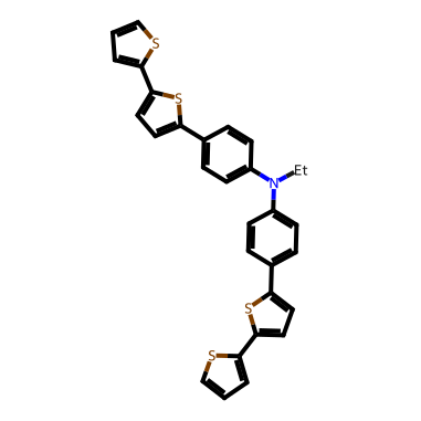 CCN(c1ccc(-c2ccc(-c3cccs3)s2)cc1)c1ccc(-c2ccc(-c3cccs3)s2)cc1